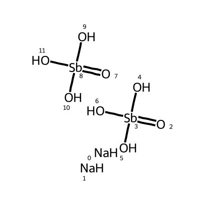 [NaH].[NaH].[O]=[Sb]([OH])([OH])[OH].[O]=[Sb]([OH])([OH])[OH]